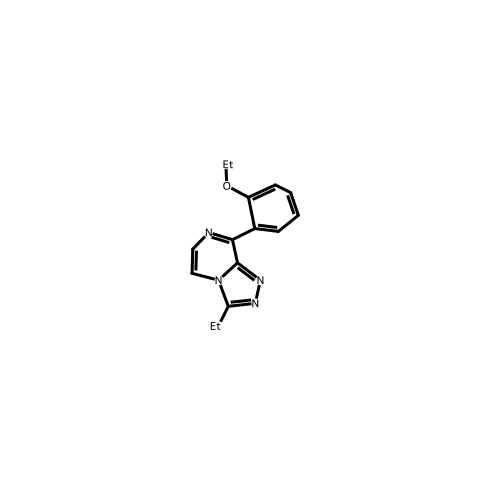 CCOc1ccccc1-c1nccn2c(CC)nnc12